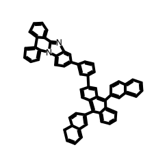 C1=CCC2C=CC(c3c4ccccc4c(-c4ccc5ccccc5c4)c4cc(-c5cccc(-c6ccc7c(c6)nc6c8ccccc8c8ccccc8n76)c5)ccc34)=CC2=C1